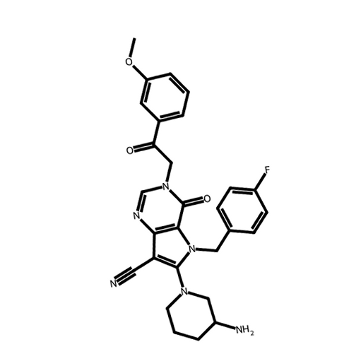 COc1cccc(C(=O)Cn2cnc3c(C#N)c(N4CCCC(N)C4)n(Cc4ccc(F)cc4)c3c2=O)c1